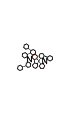 c1ccc(-c2cccc(N(c3ccccc3-c3ccccc3-c3ccccc3)c3cccc4c3-c3ccccc3C43c4ccccc4-n4c5ccccc5c5cccc3c54)c2)cc1